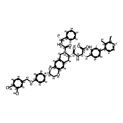 Cc1nccc(-c2ccc(C[C@H](NC(=O)[C@@H]3Cc4cc5c(cc4CN3C(=O)N[C@H](C)c3ccccc3)O[C@@H](c3ccc(OCc4ccc(Cl)c(Cl)c4)cc3)CO5)C(=O)O)cc2)c1C